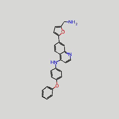 NCc1ccc(-c2ccc3c(Nc4ccc(Oc5ccccc5)cc4)ccnc3c2)o1